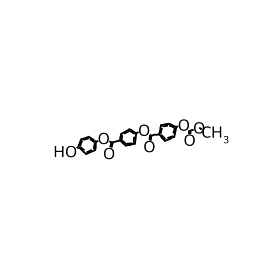 COC(=O)Oc1ccc(C(=O)Oc2ccc(C(=O)Oc3ccc(O)cc3)cc2)cc1